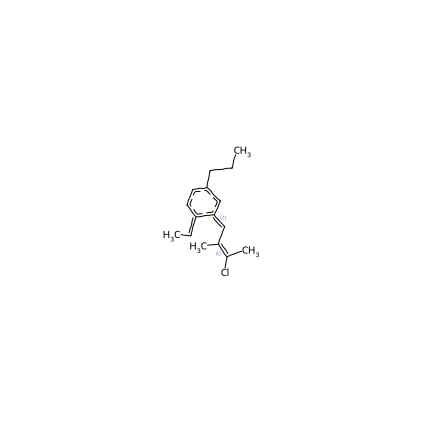 CC=c1ccc(CCC)c/c1=C/C(C)=C(\C)Cl